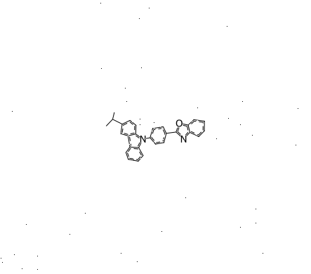 CC(C)c1ccc2c(c1)c1ccccc1n2-c1ccc(-c2nc3ccccc3o2)cc1